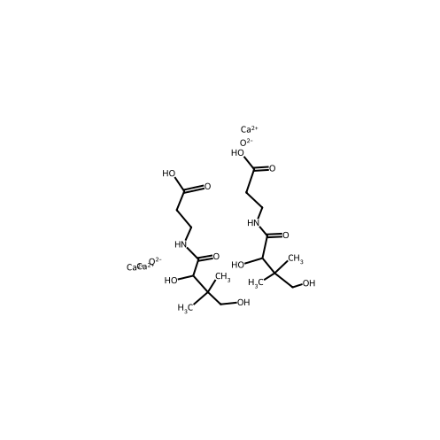 CC(C)(CO)C(O)C(=O)NCCC(=O)O.CC(C)(CO)C(O)C(=O)NCCC(=O)O.[Ca+2].[Ca+2].[Ca+2].[O-2].[O-2]